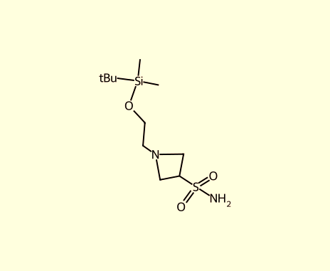 CC(C)(C)[Si](C)(C)OCCN1CC(S(N)(=O)=O)C1